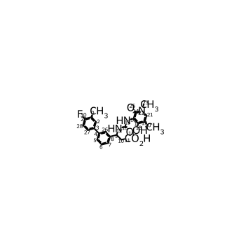 Cc1cc(-c2cccc(C(CC(=O)O)NC(=O)Nc3c(O)c(C)cn(C)c3=O)c2)ccc1F